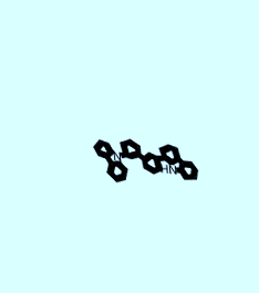 c1cc(-c2cccc(-n3c4ccccc4c4ccccc43)c2)cc(-c2cccc3c2[nH]c2ccccc23)c1